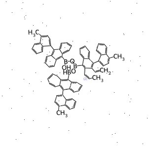 C=Cc1c(/C=C\C)c(B(OBc2c3c(c(-c4ccc(C)c5ccccc45)c4ccccc24)C=CC=CC3)OB(O)c2c3ccccc3c(-c3ccc(C)c4ccccc34)c3ccccc23)c2ccccc2c1-c1ccc(C)c2ccccc12